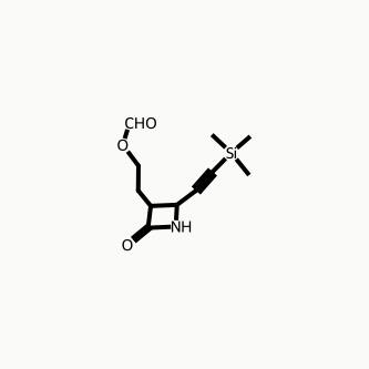 C[Si](C)(C)C#CC1NC(=O)C1CCOC=O